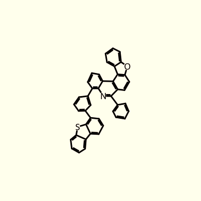 c1ccc(-c2nc3c(-c4cccc(-c5cccc6c5sc5ccccc56)c4)cccc3c3c2ccc2oc4ccccc4c23)cc1